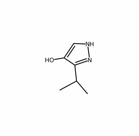 CC(C)c1n[nH]cc1O